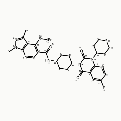 Cc1nn(C)c2ncc(C(=O)N[C@H]3CC[C@@H](n4c(=O)c5cc(F)cnc5n(C5CCSCC5)c4=O)CC3)c(SC(C)C)c12